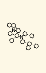 c1ccc(-c2cccc(N(c3cccc(-c4ccc(-c5ccccc5)c5ccccc45)c3)c3ccc(-c4ccccc4-n4c5ccccc5c5ccc6ccccc6c54)c(-c4ccccc4)c3)c2)cc1